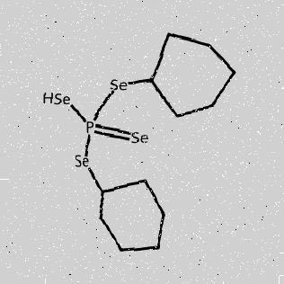 [Se]=P([SeH])([Se]C1CCCCC1)[Se]C1CCCCC1